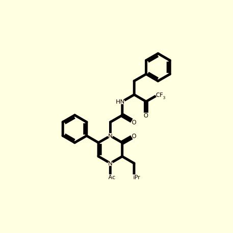 CC(=O)N1C=C(c2ccccc2)N(CC(=O)NC(Cc2ccccc2)C(=O)C(F)(F)F)C(=O)C1CC(C)C